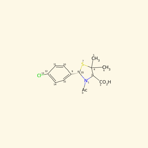 CC(=O)N1C(C(=O)O)C(C)(C)S[C@H]1c1ccc(Cl)cc1